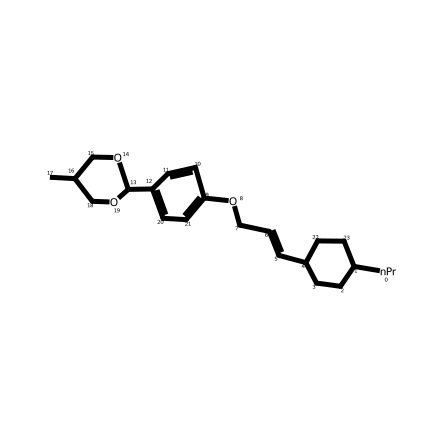 CCCC1CCC(C=CCOc2ccc(C3OCC(C)CO3)cc2)CC1